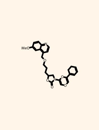 COc1ccc2nccc(COCCCC3CN(C4=COC=C(C5=CC=CCC5)O4)C(=O)O3)c2c1